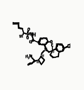 C=CCCC(CC)S(=O)(=O)NC(=O)c1ccc2c(c1)N(C[C@@H]1CC[C@H]1C(N)C=C)C[C@@]1(CCCc3cc(Cl)ccc31)CO2